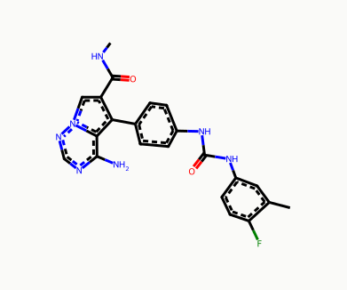 CNC(=O)c1cn2ncnc(N)c2c1-c1ccc(NC(=O)Nc2ccc(F)c(C)c2)cc1